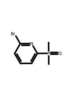 CP(C)(=O)c1cccc(Br)n1